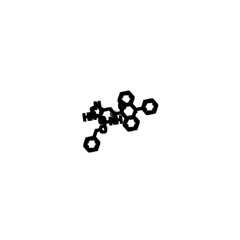 O=C(N[C@@H](Cc1c[nH]cn1)C(=O)c1ccccc1[C](c1ccccc1)c1ccccc1)OCc1ccccc1